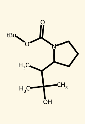 CC(C1CCCN1C(=O)OC(C)(C)C)C(C)(C)O